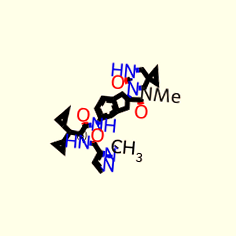 CNC(=O)C1(N2CC3(CC3)CNC2=O)Cc2ccc(NC(=O)[C@@H](NC(=O)c3ccnn3C)C(C3CC3)C3CC3)cc2C1